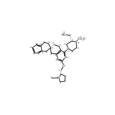 CN1CCC[C@H]1COc1nc2c(c(N3CCN(C(=O)O)[C@@H](CC#N)C3)n1)CC[C@]1(CCc3ccccc3C1)C2